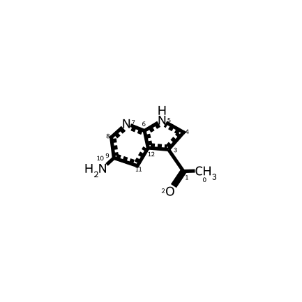 CC(=O)c1c[nH]c2ncc(N)cc12